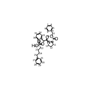 O=C(OCc1ccccc1)[C@@H]1CCCN1C(=O)C(OP(=O)(O)CCCCc1ccccc1)c1ccccc1